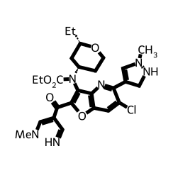 CCOC(=O)N(c1c(C(=O)/C(C=N)=C/NC)oc2cc(Cl)c(C3=CN(C)NC3)nc12)[C@H]1CCO[C@@H](CC)C1